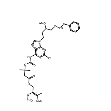 CO/C(C)=C(/COC(=O)CC(C)(C)OC(=O)Nc1nc(Cl)nc2c1ncn2CCC(COPOc1ccccc1)OC)OC=O